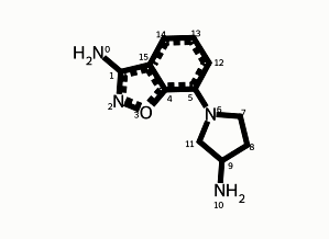 Nc1noc2c(N3CCC(N)C3)cccc12